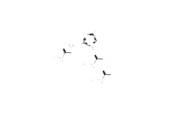 NC(=S)[S-].NC(=S)[S-].NC(=S)[S-].[Mo+3][c]1nccs1